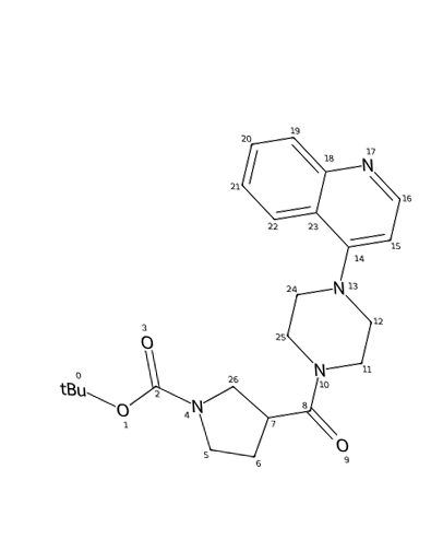 CC(C)(C)OC(=O)N1CCC(C(=O)N2CCN(c3ccnc4ccccc34)CC2)C1